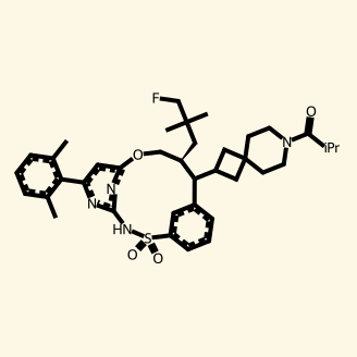 Cc1cccc(C)c1-c1cc2nc(n1)NS(=O)(=O)c1cccc(c1)C(C1CC3(CCN(C(=O)C(C)C)CC3)C1)[C@H](CC(C)(C)CF)CO2